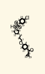 O=C(c1ccc(OCCC[C@@H]2CCN(NS(=O)(=O)c3ccc(Cl)cc3)C2)cc1)C1CC1